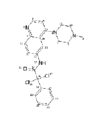 CN1CCN(c2ccnc3ccc(NC(=O)C(Cl)(Cl)c4ccccc4)cc23)CC1